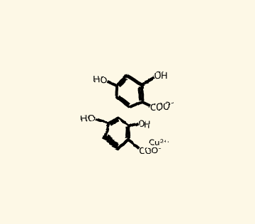 O=C([O-])c1ccc(O)cc1O.O=C([O-])c1ccc(O)cc1O.[Cu+2]